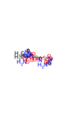 CC[C@H](C)C(=O)N[C@@H](CCC(N)=O)C(=O)N[C@@H](Cc1ccccc1)C(=O)NC(CSCc1cncc(CSCCC(=O)N2CCC[C@H]2C(=O)N2CCC[C@H]2C(N)=O)c1)C(=O)O